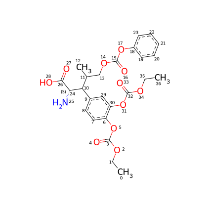 CCOC(=O)Oc1ccc(C(C(C)COC(=O)Oc2ccccc2)[C@H](N)C(=O)O)cc1OC(=O)OCC